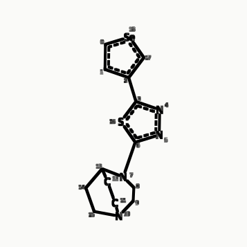 c1cc(-c2nnc(N3CCN4CCC3CC4)s2)c[se]1